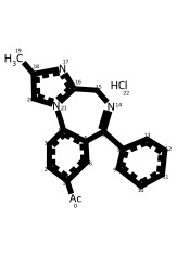 CC(=O)c1ccc2c(c1)C(c1ccccc1)=NCc1nc(C)cn1-2.Cl